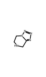 C1Cn2nnnc2CN1